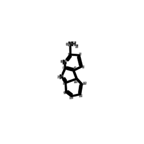 Nc1ccc2c(n1)N=C1C=CC=CC12